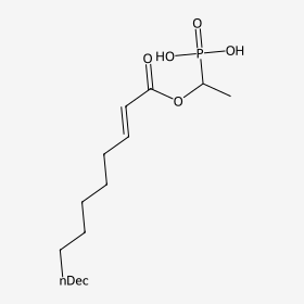 CCCCCCCCCCCCCCCC=CC(=O)OC(C)P(=O)(O)O